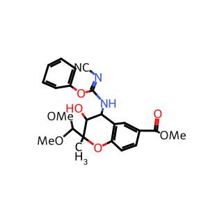 COC(=O)c1ccc2c(c1)C(NC(=NC#N)Oc1ccccc1)C(O)C(C)(C(OC)OC)O2